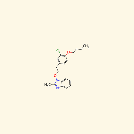 CCCCOc1ccc(CCOn2c(C)nc3ccccc32)cc1Cl